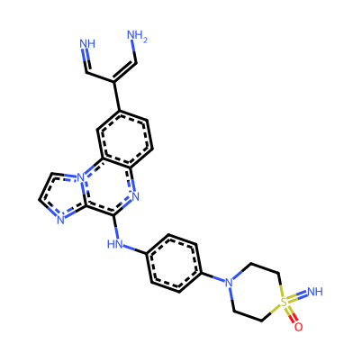 N=C/C(=C\N)c1ccc2nc(Nc3ccc(N4CCS(=N)(=O)CC4)cc3)c3nccn3c2c1